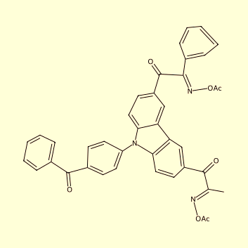 CC(=O)ON=C(C)C(=O)c1ccc2c(c1)c1cc(C(=O)C(=NOC(C)=O)c3ccccc3)ccc1n2-c1ccc(C(=O)c2ccccc2)cc1